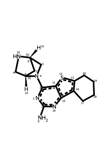 Nc1nc(N2C[C@@H]3C[C@H]2CN3)c2sc3c(c2n1)CCCC3